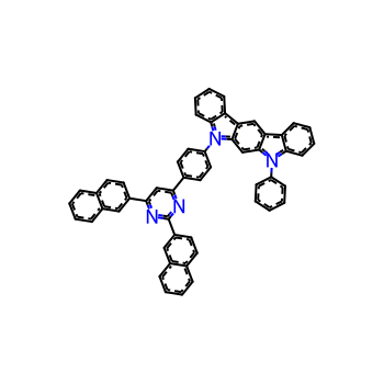 c1ccc(-n2c3ccccc3c3cc4c5ccccc5n(-c5ccc(-c6cc(-c7ccc8ccccc8c7)nc(-c7ccc8ccccc8c7)n6)cc5)c4cc32)cc1